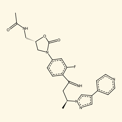 CC(=O)NC[C@H]1CN(c2ccc(C(=N)C[C@H](C)n3cc(-c4ccncc4)cn3)c(F)c2)C(=O)O1